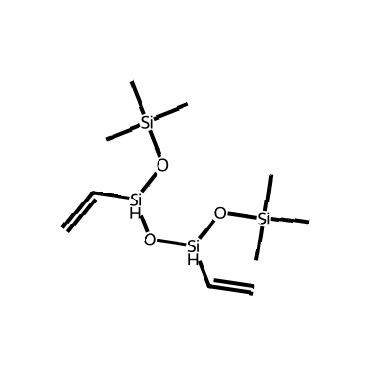 C=C[SiH](O[SiH](C=C)O[Si](C)(C)C)O[Si](C)(C)C